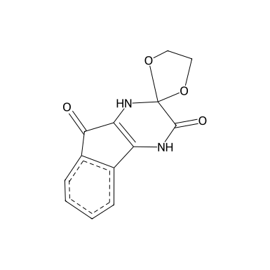 O=C1C2=C(NC(=O)C3(N2)OCCO3)c2ccccc21